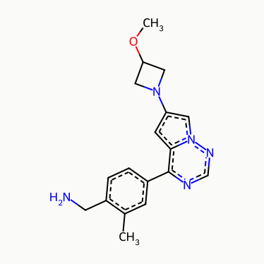 COC1CN(c2cc3c(-c4ccc(CN)c(C)c4)ncnn3c2)C1